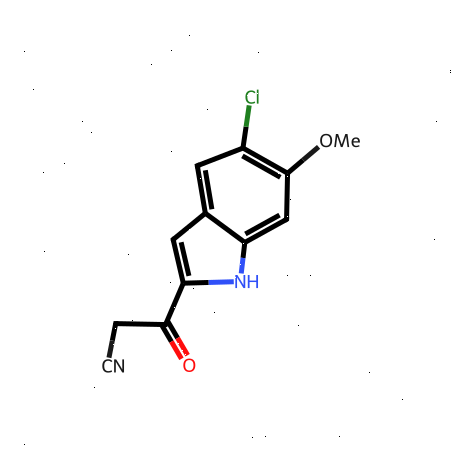 COc1cc2[nH]c(C(=O)CC#N)cc2cc1Cl